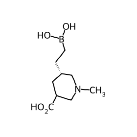 CN1CC(C(=O)O)C[C@H](CCB(O)O)C1